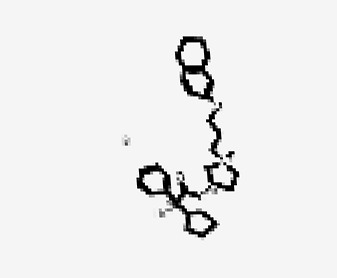 C[N+]1(CCCOc2ccc3c(c2)CCCC3)CC[C@@H](OC(=O)[C@](O)(c2ccccc2)C2CCCC2)C1.[Br-]